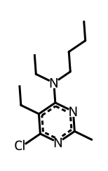 CCCCN(CC)c1nc(C)nc(Cl)c1CC